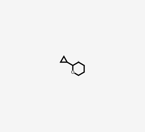 [C]1CCCOC1C1CC1